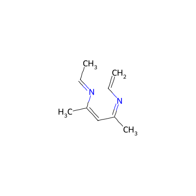 C=C\N=C(C)/C=C(C)\N=C\C